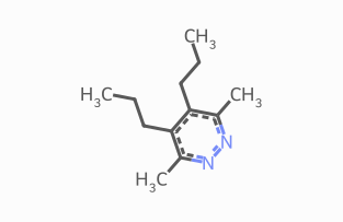 CCCc1c(C)nnc(C)c1CCC